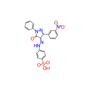 O=C1/C(=N\Nc2ccc(S(=O)(=O)O)cc2)C(c2cccc([N+](=O)[O-])c2)=NN1c1ccccc1